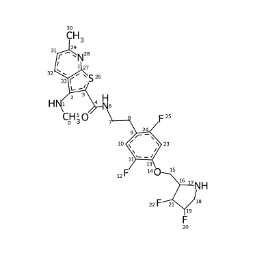 CNc1c(C(=O)NCCc2cc(F)c(OCC3NCC(F)C3F)cc2F)sc2nc(C)ccc12